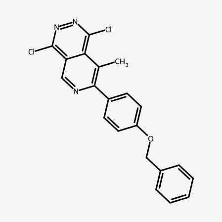 Cc1c(-c2ccc(OCc3ccccc3)cc2)ncc2c(Cl)nnc(Cl)c12